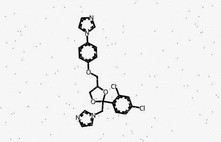 Clc1ccc(C2(Cn3ccnc3)OCC(COc3ccc(-n4ccnc4)cc3)O2)c(Cl)c1